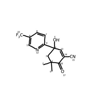 CC1(C)CC(O)(c2ccc(C(F)(F)F)cn2)C=C(C#N)C1=O